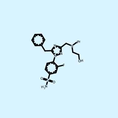 CC(C)N(CCO)Cc1nc(Cc2ccccc2)n(-c2ccc(S(N)(=O)=O)cc2F)n1